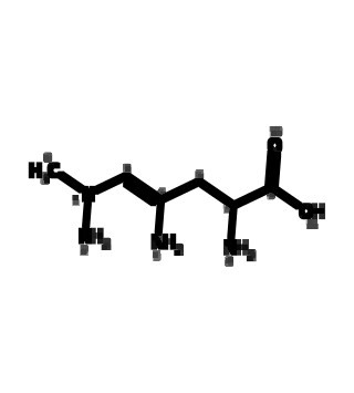 CN(N)/C=C(\N)CC(N)C(=O)O